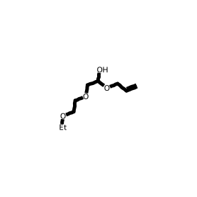 C=CCOC(O)COCCOCC